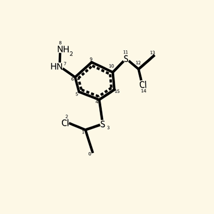 CC(Cl)Sc1cc(NN)cc(SC(C)Cl)c1